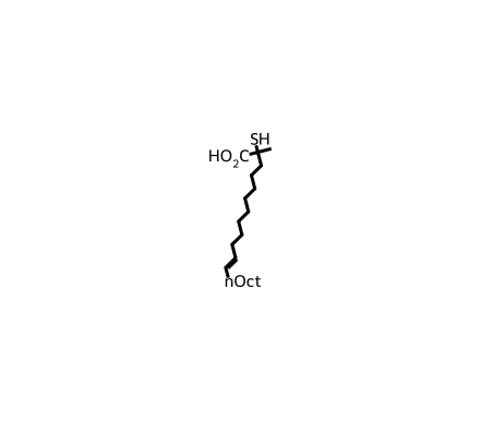 CCCCCCCCC=CCCCCCCCCC(C)(S)C(=O)O